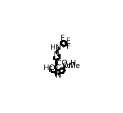 COc1ccc2ncc(CF)c([C@@H](O)CCC3(C(=O)O)CCN(CCNc4cc(F)c(F)c(F)c4)CC3)c2c1